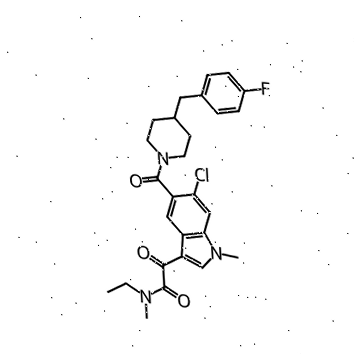 CCN(C)C(=O)C(=O)c1cn(C)c2cc(Cl)c(C(=O)N3CCC(Cc4ccc(F)cc4)CC3)cc12